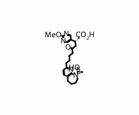 COc1ncc([C@H](CC(=O)O)CC(=O)CCCCc2ccc3c(n2)N(B(C)O)CCCC3)cn1